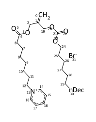 C=C(COC(=O)CCCCCCC[n+]1ccccc1)COC(=O)OCCCCCCCCCCCCCCCC.[Br-]